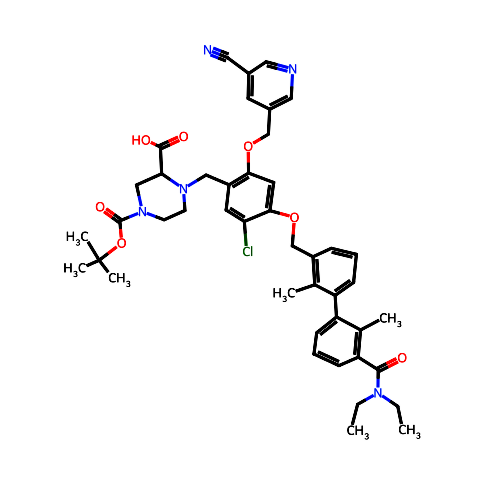 CCN(CC)C(=O)c1cccc(-c2cccc(COc3cc(OCc4cncc(C#N)c4)c(CN4CCN(C(=O)OC(C)(C)C)CC4C(=O)O)cc3Cl)c2C)c1C